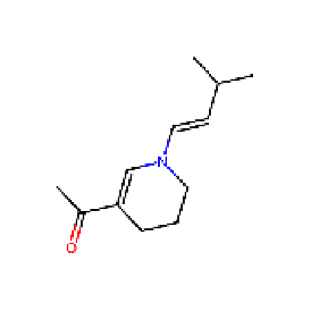 CC(=O)C1=CN(/C=C/C(C)C)CCC1